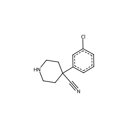 N#CC1(c2cccc(Cl)c2)CCNCC1